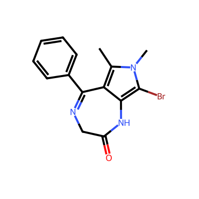 Cc1c2c(c(Br)n1C)NC(=O)CN=C2c1ccccc1